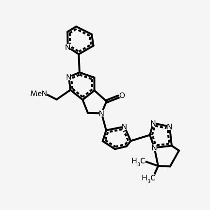 CNCc1nc(-c2ccccn2)cc2c1CN(c1cccc(-c3nnc4n3C(C)(C)CC4)n1)C2=O